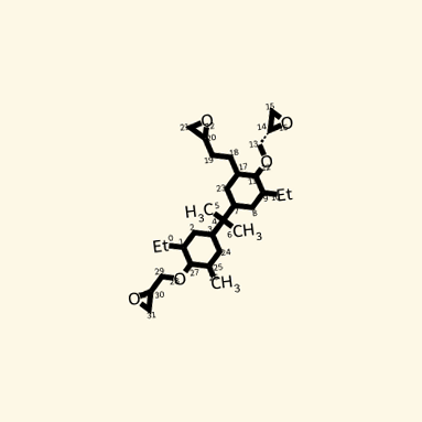 CCC1CC(C(C)(C)C2CC(CC)C(OC[C@@H]3CO3)C(CCC3CO3)C2)CC(C)C1OCC1CO1